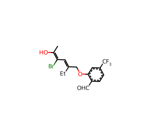 CC/C(=C\C(Br)=C(/C)O)COc1cc(C(F)(F)F)ccc1C=O